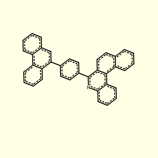 c1ccc2c(c1)cc(-c1ccc(-c3nc4ccccc4c4c3ccc3ccccc34)cc1)c1ccccc12